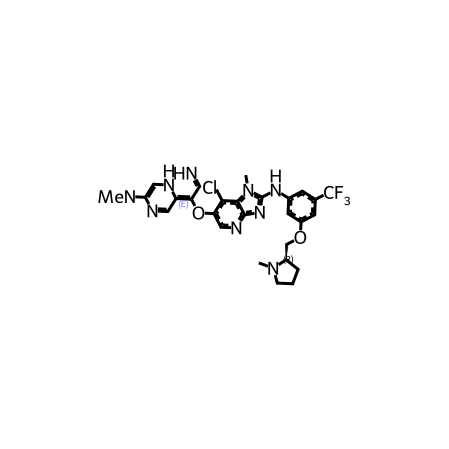 CNC1=CN/C(=C(\C=N)Oc2cnc3nc(Nc4cc(OC[C@H]5CCCN5C)cc(C(F)(F)F)c4)n(C)c3c2Cl)C=N1